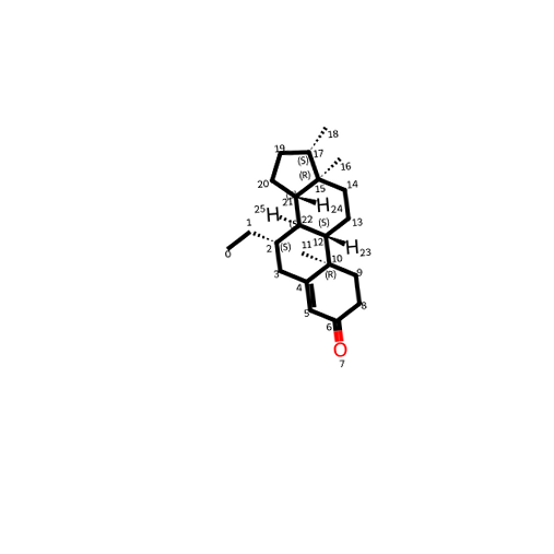 CC[C@H]1CC2=CC(=O)CC[C@]2(C)[C@H]2CC[C@]3(C)[C@@H](C)CC[C@H]3[C@H]12